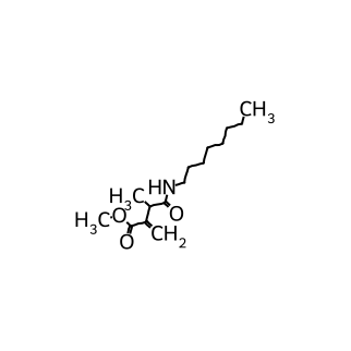 C=C(C(=O)OC)C(C)C(=O)NCCCCCCCC